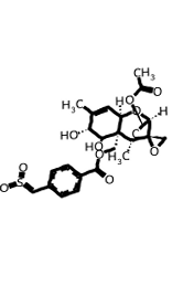 CC(=O)O[C@@H]1C[C@]2(C)[C@@]3(COC(=O)c4ccc(C=S(=O)=O)cc4)[C@H](O)[C@H](O)C(C)=C[C@H]3O[C@H]1[C@@]21CO1